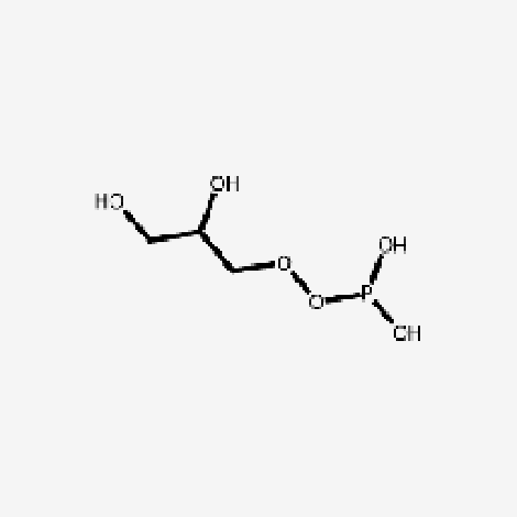 OCC(O)COOP(O)O